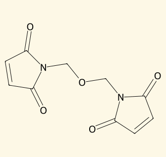 O=C1C=CC(=O)N1COCN1C(=O)C=CC1=O